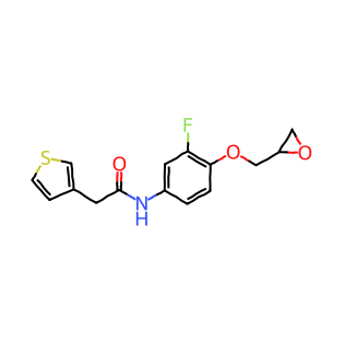 O=C(Cc1ccsc1)Nc1ccc(OCC2CO2)c(F)c1